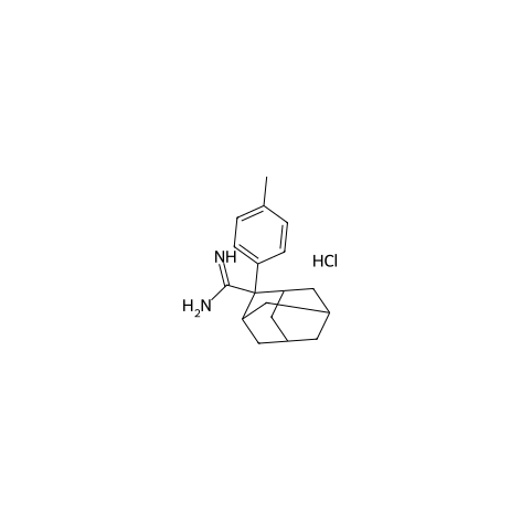 Cc1ccc(C2(C(=N)N)C3CC4CC(C3)CC2C4)cc1.Cl